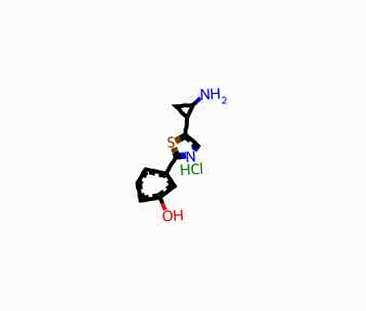 Cl.NC1CC1c1cnc(-c2cccc(O)c2)s1